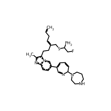 C=CC/C=C(/CCc1c(C)nc2ccc(C3=CC=CC(N4CCCNCC4)N=C3)cn12)CSC(P)CF